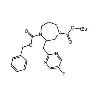 CC(C)(C)OC(=O)N1CCCN(C(=O)OCc2ccccc2)C(Cc2ncc(F)cn2)C1